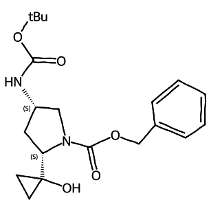 CC(C)(C)OC(=O)N[C@H]1C[C@@H](C2(O)CC2)N(C(=O)OCc2ccccc2)C1